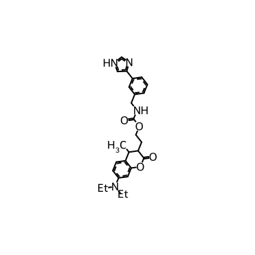 CCN(CC)c1ccc2c(c1)OC(=O)C(CCOC(=O)NCc1cccc(-c3c[nH]cn3)c1)C2C